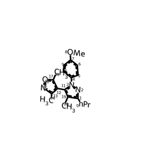 CCCc1nn(-c2ccc(OC)cc2)c(-c2c(C)noc2C)c1C